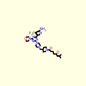 CC(C)=CC(=O)CCCC(=O)N1CCC(CN2CCN(c3nc(-c4cnc(N)cc4C(F)(F)F)nc(N4CCOCC4)n3)CC2)CC1